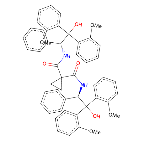 COc1ccccc1C(O)(c1ccccc1OC)[C@H](NC(=O)C1(C(=O)N[C@H](c2ccccc2)C(O)(c2ccccc2OC)c2ccccc2OC)CC1)c1ccccc1